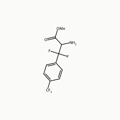 COC(=O)C(N)C(F)(F)c1ccc(C(F)(F)F)cc1